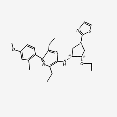 CCO[C@H]1CN(c2nccs2)C[C@H]1Nc1nc(CC)c(-c2ccc(OC)cc2C)nc1CC